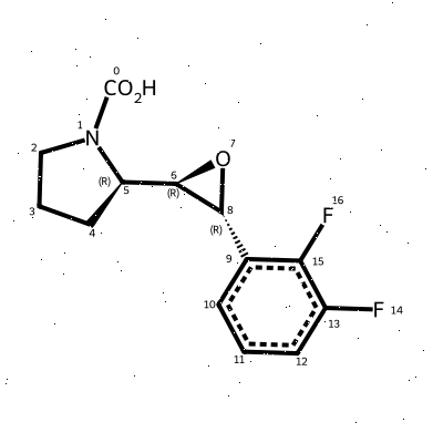 O=C(O)N1CCC[C@@H]1[C@H]1O[C@@H]1c1cccc(F)c1F